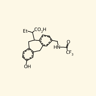 CCC(C(=O)O)C1Cc2ccc(O)cc2Cc2cc(CNC(=O)C(F)(F)F)ccc21